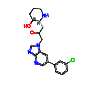 O=C(C[C@H]1NCCC[C@@H]1O)Cn1cnc2ncc(-c3cccc(Cl)c3)cc21